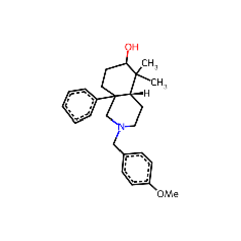 COc1ccc(CN2CC[C@@H]3C(c4ccccc4)(CCC(O)C3(C)C)C2)cc1